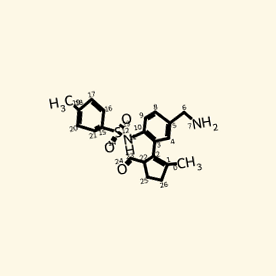 CC1=C(c2cc(CN)ccc2NS(=O)(=O)c2ccc(C)cc2)C(C=O)CC1